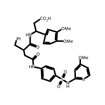 COc1ccnc(NS(=O)(=O)c2ccc(NC(=O)CC(CC(C)C)C(=O)NC(CC(=O)O)c3ccc(OC)c(OC)c3)cc2)c1